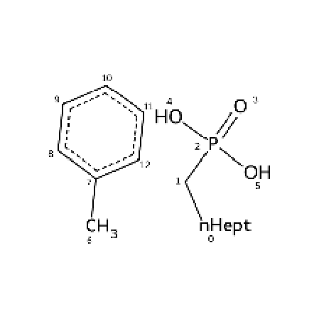 CCCCCCCCP(=O)(O)O.Cc1ccccc1